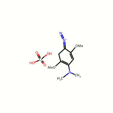 COC1=CC(N(C)C)=C(OC)CC1=[N+]=[N-].[O]=[Cr](=[O])([OH])[OH]